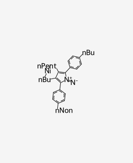 CCCCCCCCCc1ccc(C2=C(CCCC)C(CCCCC)=C(c3ccc(CCCC)cc3)[N+]2=[N-])cc1.[CH3][Ni][CH3]